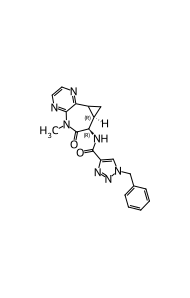 CN1C(=O)[C@H](NC(=O)c2cn(Cc3ccccc3)nn2)[C@@H]2CC2c2nccnc21